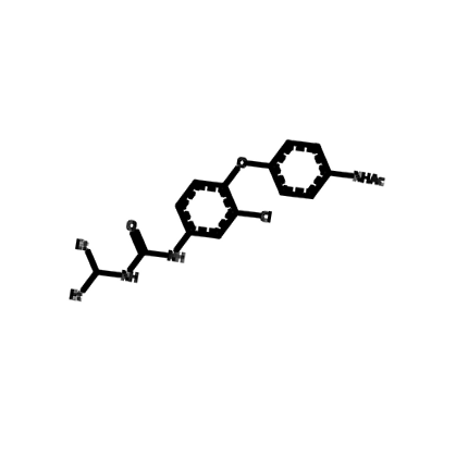 CCC(CC)NC(=O)Nc1ccc(Oc2ccc(NC(C)=O)cc2)c(Cl)c1